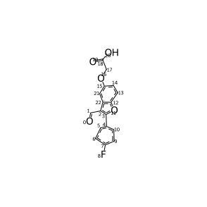 O=Cc1c(-c2ccc(F)cc2)oc2ccc(OCC(=O)O)cc12